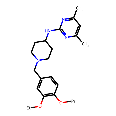 CCOc1cc(CN2CCC(Nc3nc(C)cc(C)n3)CC2)ccc1OC(C)C